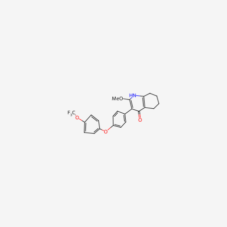 COc1[nH]c2c(c(=O)c1-c1ccc(Oc3ccc(OC(F)(F)F)cc3)cc1)CCCC2